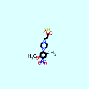 COc1cc(N2CCN(CCC(=O)OS)CC2)c(C)cc1[N+](=O)[O-]